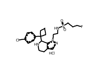 Cl.O=S(=O)(CCCF)NCCn1ncc2c1C(C1(c3ccc(Cl)cc3)CCC1)NCC2